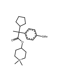 CSc1ccc(C(C)(C(=O)OC2CC[N+](C)(C)CC2)C2CCCC2)cc1